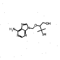 CC(C)(S)C(CO)OCn1cnc2c(N)ncnc21